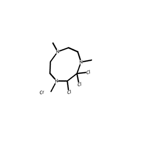 CN1CCN(C)C(Cl)C(Cl)(Cl)N(C)CC1.[Cr]